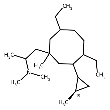 CCC1CCC(CC)C(C2C[C@H]2C)CC(C)(CC(C)N(C)C)C1